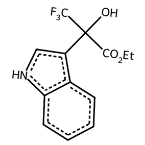 CCOC(=O)C(O)(c1c[nH]c2ccccc12)C(F)(F)F